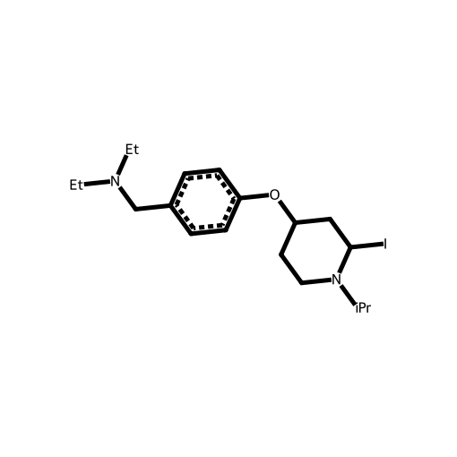 CCN(CC)Cc1ccc(OC2CCN(C(C)C)C(I)C2)cc1